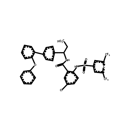 O=C(O)CC(NC(=O)c1cc(Cl)ccc1NS(=O)(=O)c1cc(C(F)(F)F)cc(C(F)(F)F)c1)c1ccc(-c2ccccc2Oc2ccccc2)cc1